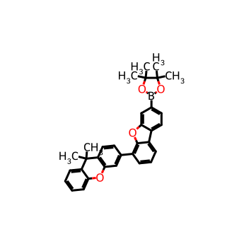 CC1(C)c2ccccc2Oc2cc(-c3cccc4c3oc3cc(B5OC(C)(C)C(C)(C)O5)ccc34)ccc21